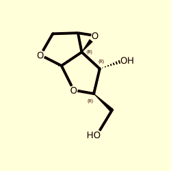 OC[C@H]1O[C]2OCC3O[C@@]23[C@@H]1O